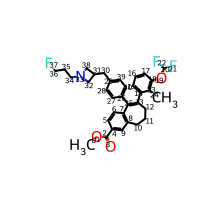 COC(=O)c1ccc2c(c1)CCCC(c1cccc(OC(F)F)c1C)=C2c1ccc(CC2CN(CCCF)C2)cc1